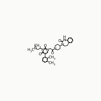 Cc1cccc(-c2cn(CC(=O)N3CCC(N4CCc5ccccc5NC4=O)CC3)c(=O)n(CCN(C)C)c2=O)c1C